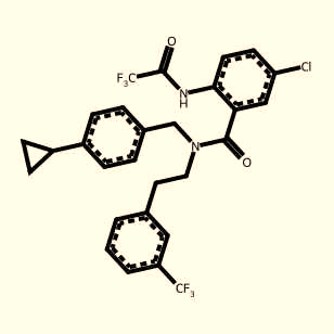 O=C(c1cc(Cl)ccc1NC(=O)C(F)(F)F)N(CCc1cccc(C(F)(F)F)c1)Cc1ccc(C2CC2)cc1